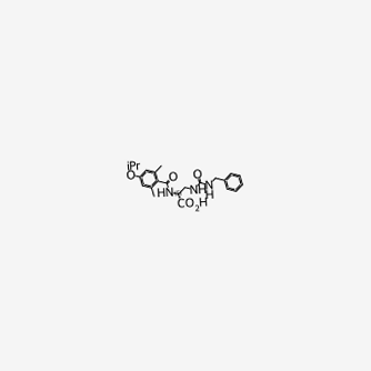 Cc1cc(OC(C)C)cc(C)c1C(=O)N[C@@H](CNC(=O)NCc1ccccc1)C(=O)O